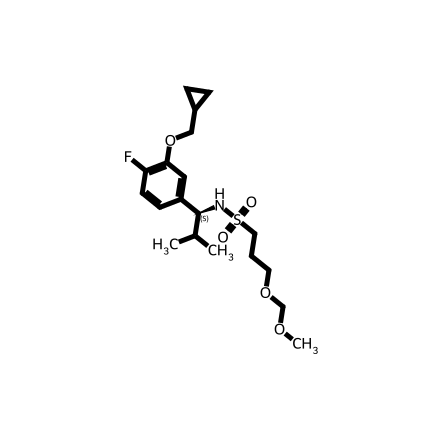 COCOCCCS(=O)(=O)N[C@H](c1ccc(F)c(OCC2CC2)c1)C(C)C